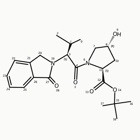 CC(C)[C@@H](C(=O)N1C[C@H](O)C[C@H]1C(=O)OC(C)(C)C)N1Cc2ccccc2C1=O